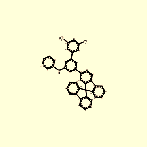 FC(F)(F)c1cc(-c2cc(Nc3cccnc3)cc(-c3ccc4c(c3)C3(c5ccccc5-c5ccccc53)c3ccccc3-4)c2)cc(C(F)(F)F)c1